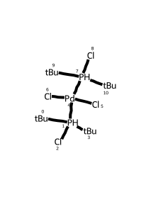 CC(C)(C)[PH](Cl)(C(C)(C)C)[Pd]([Cl])([Cl])[PH](Cl)(C(C)(C)C)C(C)(C)C